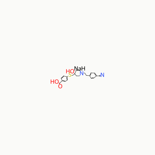 N#Cc1ccc(CCN2CCC(O)(CSc3ccc(C(=O)O)cc3)CC2)cc1.[NaH]